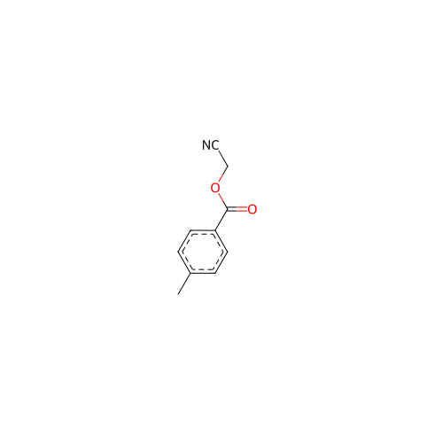 Cc1ccc(C(=O)OCC#N)cc1